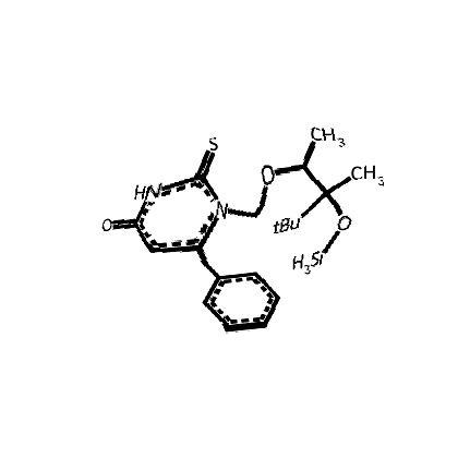 CC(OCn1c(-c2ccccc2)cc(=O)[nH]c1=S)C(C)(O[SiH3])C(C)(C)C